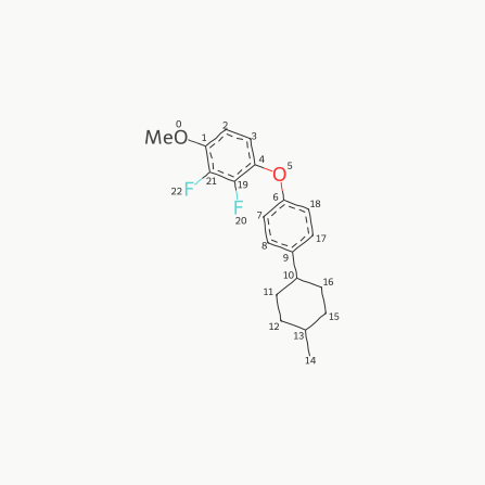 COc1ccc(Oc2ccc(C3CCC(C)CC3)cc2)c(F)c1F